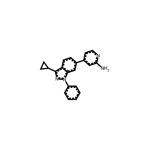 Nc1cc(-c2ccc3c(C4CC4)nn(-c4ccccc4)c3c2)ccn1